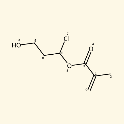 C=C(C)C(=O)OC(Cl)CCO